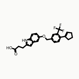 O=C(O)CCc1cc2cc(OCc3ccc(C4=CCCC4)c(C(F)(F)F)c3)ccc2[nH]1